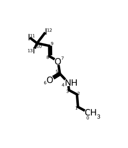 CCCCNC(=O)OC=CC(I)(I)I